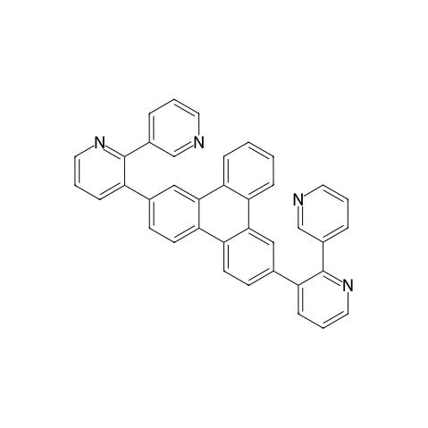 c1cncc(-c2ncccc2-c2ccc3c4ccc(-c5cccnc5-c5cccnc5)cc4c4ccccc4c3c2)c1